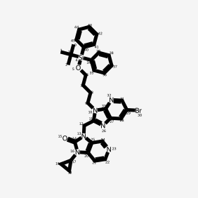 CC(C)(C)[Si](OCCCCn1c(Cn2c(=O)n(C3CC3)c3ccncc32)nc2cc(Br)cnc21)(c1ccccc1)c1ccccc1